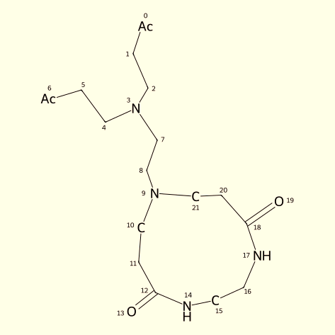 CC(=O)CCN(CCC(C)=O)CCN1CCC(=O)NCCNC(=O)CC1